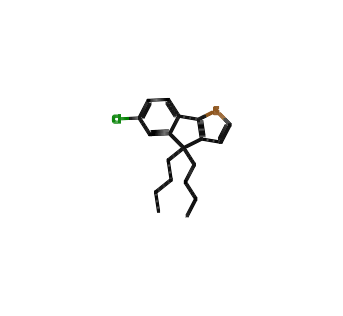 CCCCC1(CCCC)c2cc(Cl)ccc2-c2sccc21